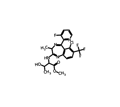 COC(=O)C(NC1=Nc2ccc(C(F)(F)F)c(Cl)c2C(c2ncccc2F)=NC1C)C(C)O